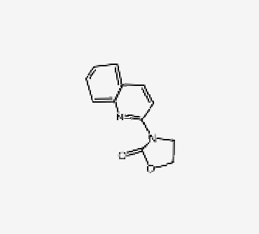 O=C1OCCN1c1ccc2ccccc2n1